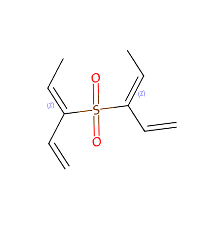 C=C/C(=C/C)S(=O)(=O)/C(C=C)=C\C